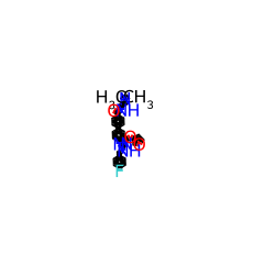 CN(C)CCNC(=O)c1ccc(-c2ccc3nc(NCc4ccc(F)cc4)nc(OC4CCOC4)c3c2)cc1